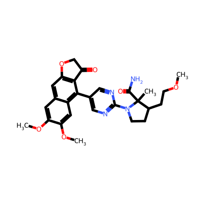 COCCC1CCN(c2ncc(-c3c4c(cc5cc(OC)c(OC)cc35)OCC4=O)cn2)C1(C)C(N)=O